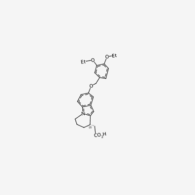 CCOc1ccc(COc2ccc3c(c2)cc2n3CCC[C@H]2CC(=O)O)cc1OCC